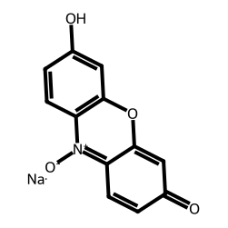 O=c1ccc2[n+]([O-])c3ccc(O)cc3oc-2c1.[Na]